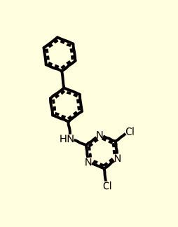 Clc1nc(Cl)nc(Nc2ccc(-c3ccccc3)cc2)n1